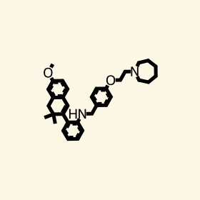 COc1ccc2c(c1)CC(C)(C)C(c1ccccc1NCc1ccc(OCCN3CCCCCC3)cc1)=C2